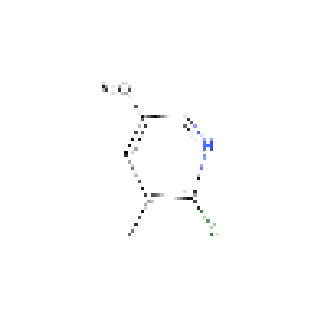 CC(=O)Oc1cnc(Cl)c(C)c1